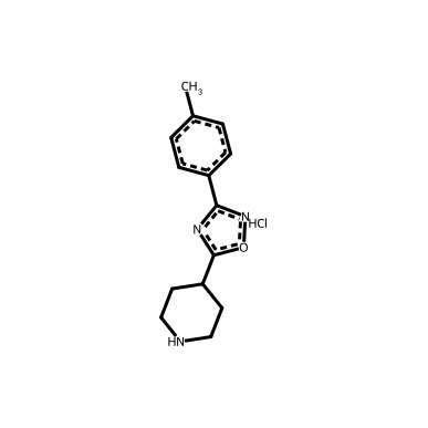 Cc1ccc(-c2noc(C3CCNCC3)n2)cc1.Cl